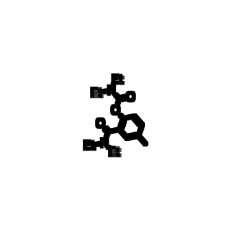 CCN(CC)C(=O)Oc1ccc(C)cc1C(=O)N(CC)CC